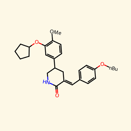 CCCCOc1ccc(C=C2CC(c3ccc(OC)c(OC4CCCC4)c3)CNC2=O)cc1